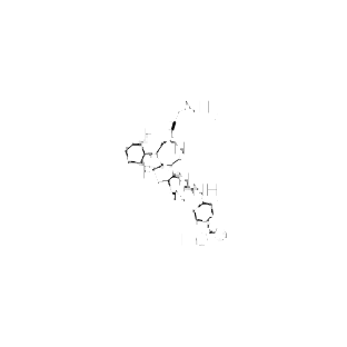 NCC#CC1=NC=C2C(=CCc3cnc(Nc4ccc(C(=O)O)cc4)nc32)C(c2c(F)cccc2F)=C1